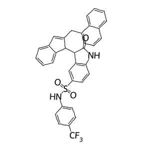 O=C1Nc2ccc(S(=O)(=O)Nc3ccc(C(F)(F)F)cc3)cc2C1C1C(Cc2cccc3ccccc23)=Cc2ccccc21